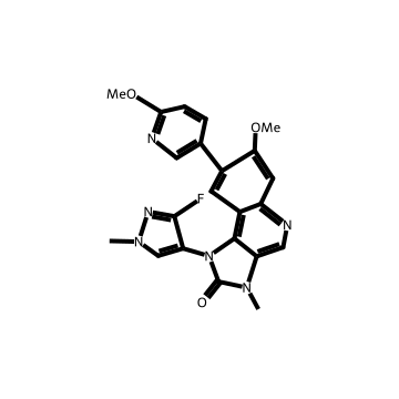 COc1ccc(-c2cc3c(cc2OC)ncc2c3n(-c3cn(C)nc3F)c(=O)n2C)cn1